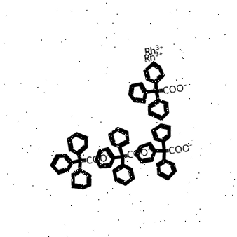 O=C([O-])C(c1ccccc1)(c1ccccc1)c1ccccc1.O=C([O-])C(c1ccccc1)(c1ccccc1)c1ccccc1.O=C([O-])C(c1ccccc1)(c1ccccc1)c1ccccc1.O=C([O-])C(c1ccccc1)(c1ccccc1)c1ccccc1.[Rh+3].[Rh+3]